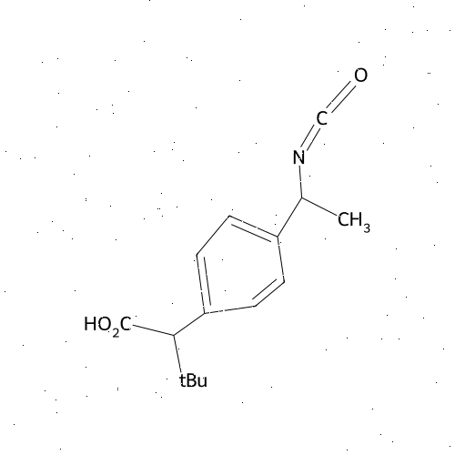 CC(N=C=O)c1ccc(C(C(=O)O)C(C)(C)C)cc1